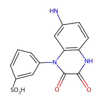 [NH]c1ccc2[nH]c(=O)c(=O)n(-c3cccc(S(=O)(=O)O)c3)c2c1